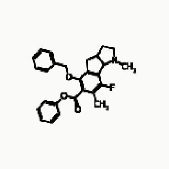 Cc1c(F)c2c(c(OCc3ccccc3)c1C(=O)Oc1ccccc1)CC1CCN(C)C21